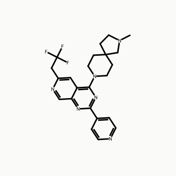 CN1CCC2(CCN(c3nc(-c4ccncc4)nc4cnc(CC(F)(F)F)cc34)CC2)C1